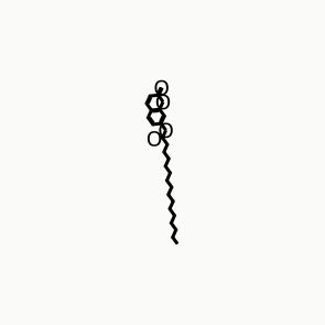 CCCCCCCCCCCCCCCC(=O)Oc1ccc2ccc(=O)oc2c1